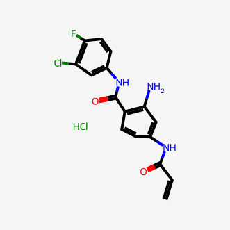 C=CC(=O)Nc1ccc(C(=O)Nc2ccc(F)c(Cl)c2)c(N)c1.Cl